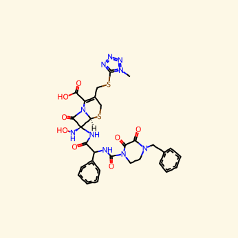 Cn1nnnc1SCC1=C(C(=O)O)N2C(=O)[C@@](NO)(NC(=O)C(NC(=O)N3CCN(Cc4ccccc4)C(=O)C3=O)c3ccccc3)[C@@H]2SC1